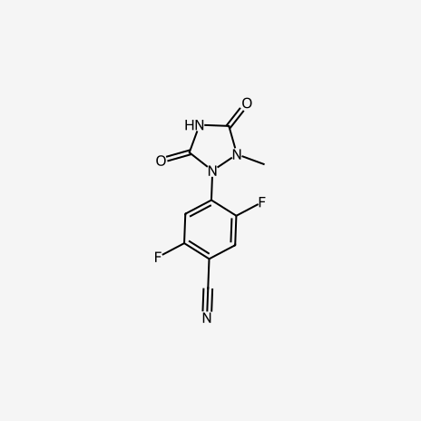 Cn1c(=O)[nH]c(=O)n1-c1cc(F)c(C#N)cc1F